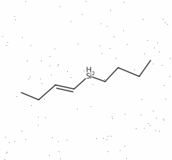 CC/C=C/[SiH2]CCCC